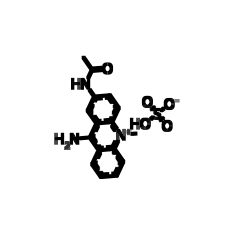 CC(=O)Nc1ccc2c(c1)c(N)c1ccccc1[n+]2C.O=S(=O)([O-])O